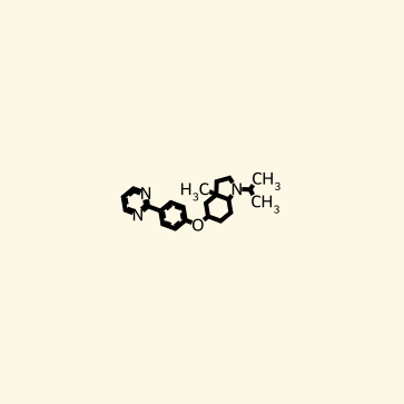 CC(C)N1CCC2(C)CC(Oc3ccc(-c4ncccn4)cc3)CCC12